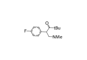 CNCC(C(=O)C(C)(C)C)c1ccc(F)cc1